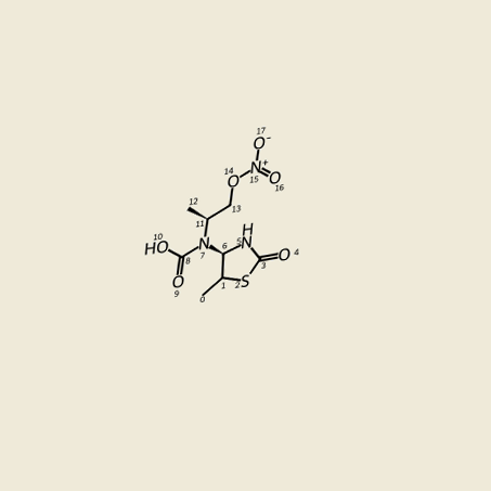 CC1SC(=O)N[C@@H]1N(C(=O)O)[C@@H](C)CO[N+](=O)[O-]